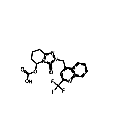 O=C(O)OC1CCCc2nn(Cc3cc(C(F)(F)F)nc4ccccc34)c(=O)n21